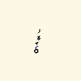 CC/C(=C\c1ccccc1)[C@@H]1C[C@H]1NC1CC2(C1)CN(CCC(N)=O)C2